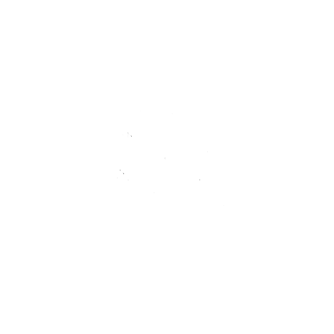 Nc1ncccc1-c1c(Cl)ccc(F)c1Cl